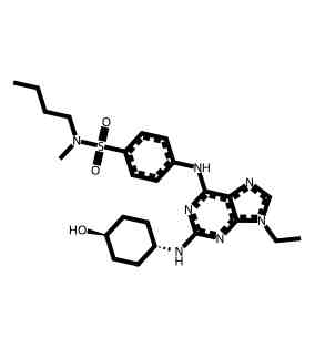 CCCCN(C)S(=O)(=O)c1ccc(Nc2nc(N[C@H]3CC[C@H](O)CC3)nc3c2ncn3CC)cc1